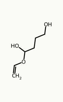 C=COC(O)CCCO